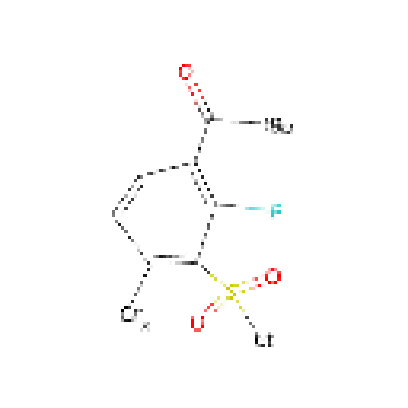 CCS(=O)(=O)c1c(C(F)(F)F)ccc(C(=O)C(C)(C)C)c1F